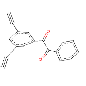 C#Cc1cc(C#C)cc(C(=O)C(=O)c2ccccc2)c1